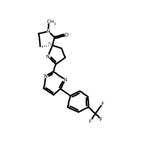 CN1CC[C@@]2(CCC(c3nccc(-c4ccc(C(F)(F)F)cc4)n3)=N2)C1=O